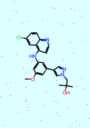 COc1cc(Nc2ccnc3ccc(Cl)cc23)cc(-c2cnn(CC(C)(C)O)c2)c1